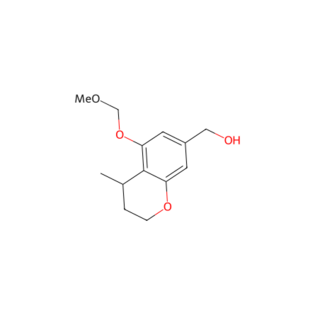 COCOc1cc(CO)cc2c1C(C)CCO2